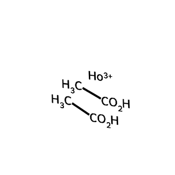 CC(=O)O.CC(=O)O.[Ho+3]